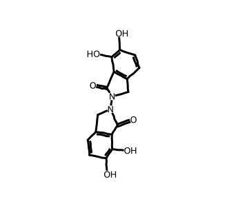 O=C1c2c(ccc(O)c2O)CN1N1Cc2ccc(O)c(O)c2C1=O